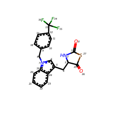 O=C1NC(Cc2cn(Cc3ccc(C(F)(F)F)cc3)c3ccccc23)C(=O)S1